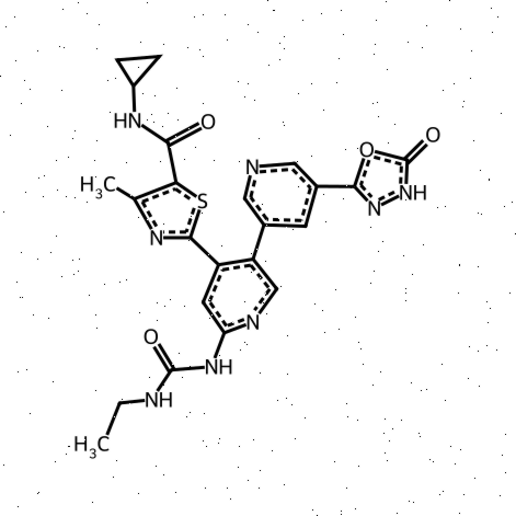 CCNC(=O)Nc1cc(-c2nc(C)c(C(=O)NC3CC3)s2)c(-c2cncc(-c3n[nH]c(=O)o3)c2)cn1